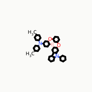 Cc1ccc(N(c2ccc(C)cc2)c2ccc3c(c2)Oc2cccc4c2B3c2cc3c5ccccc5n(-c5ccccc5)c3cc2O4)cc1